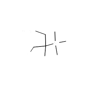 CCCCCCCCC(CO)(C(=O)[O-])[N+](C)(C)C